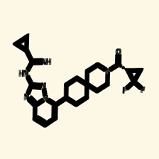 N=C(Nc1nc2cccc(C3CCC4(CC3)CCN(C(=O)[C@@H]3CC3(F)F)CC4)n2n1)C1CC1